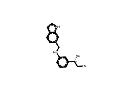 N#CC[C@@H](O)c1cccc(NCc2ccc3cc[nH]c3c2)c1